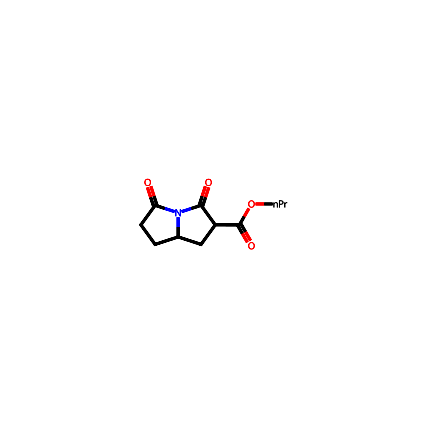 CCCOC(=O)C1CC2CCC(=O)N2C1=O